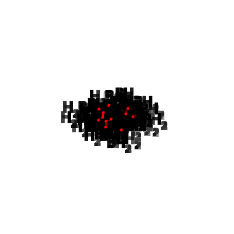 Bc1c(B)c(B)c(-c2c(B)c(B)c(-c3c(B)c(B)c(B)c(B)c3-c3c4c(B)c(B)c(B)c(B)c4c(-c4c(B)c(B)c(B)c5oc6c(B)c7c(B)c(B)c(B)c(B)c7c(B)c6c45)c4c(B)c(B)c(B)c(B)c34)c(B)c2B)c(B)c1B